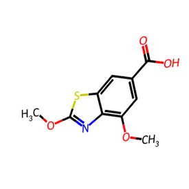 COc1nc2c(OC)cc(C(=O)O)cc2s1